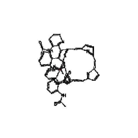 CC(=O)Nc1cccnc1C1=CC2=CC3=NC(=CC4=NC(=CC5=NC(=C(c6ncccc6NC(C)=O)C1=N2)C(c1ncccc1NC(C)=O)=C5c1ncccc1NC(C)=O)C=C4)C=C3